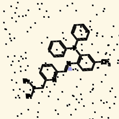 CC(C)P(Cc1cccc(/C=N/c2ccc(C(F)(F)F)cc2P(c2ccccc2)c2ccccc2)n1)C(C)C